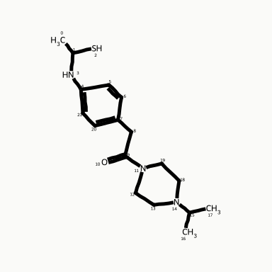 CC(S)Nc1ccc(CC(=O)N2CCN(C(C)C)CC2)cc1